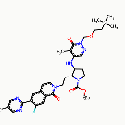 CC(C)(C)OC(=O)N1CC[C@H](Nc2cnn(COCC[Si](C)(C)C)c(=O)c2C(F)(F)F)[C@H]1CCn1ccc2cc(-c3ncc(C(F)(F)F)cn3)c(F)cc2c1=O